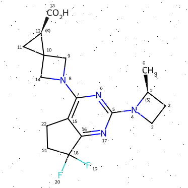 C[C@H]1CCN1c1nc(N2CC3(C[C@H]3C(=O)O)C2)c2c(n1)C(F)(F)CC2